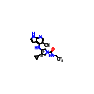 N#Cc1cnc2[nH]ccc2c1N[C@H]1CN(C(=O)NCC(F)(F)F)C[C@H]1C1CC1